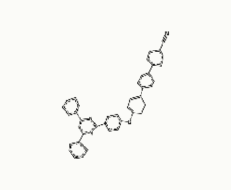 N#Cc1ccc(-c2ccc(C3=CC=C(Oc4ccc(-c5nc(-c6ccccc6)nc(-c6ccccc6)n5)cc4)CC3)cc2)cc1